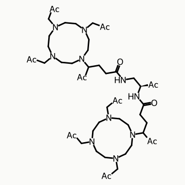 CC(=O)CN1CCN(CC(C)=O)CCN(C(CCC(=O)NC[C@H](NC(=O)CCC(C(C)=O)N2CCN(CC(C)=O)CCN(CC(C)=O)CCN(CC(C)=O)CC2)C(C)=O)C(C)=O)CCN(CC(C)=O)CC1